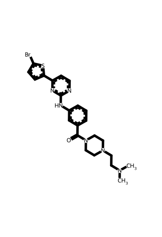 CN(C)CCN1CCN(C(=O)c2cccc(Nc3nccc(-c4ccc(Br)s4)n3)c2)CC1